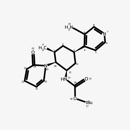 C[C@H]1C[C@@H](c2ccncc2N)C[C@@H](NC(=O)OC(C)(C)C)[C@H]1n1ccccc1=O